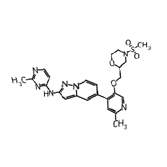 Cc1cc(-c2ccn3nc(Nc4ccnc(C)n4)cc3c2)c(OC[C@@H]2CN(S(C)(=O)=O)CCO2)cn1